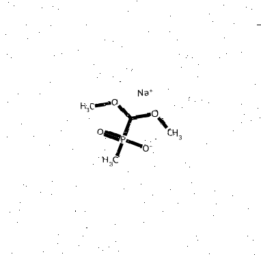 COC(OC)P(C)(=O)[O-].[Na+]